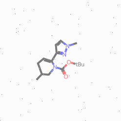 CC1CC=C(c2ccn(C)n2)N(C(=O)OC(C)(C)C)C1